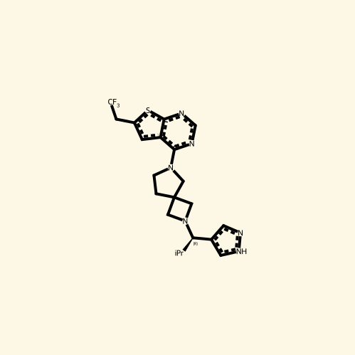 CC(C)[C@H](c1cn[nH]c1)N1CC2(CCN(c3ncnc4sc(CC(F)(F)F)cc34)C2)C1